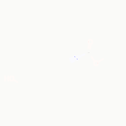 CC(C)(C)OC(=O)[N+]#CC1CCC(CO)CC1